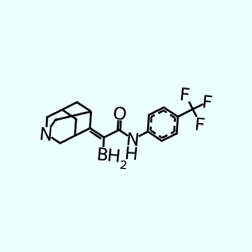 BC(C(=O)Nc1ccc(C(F)(F)F)cc1)=C1C2CC3CC1CN(C3)C2